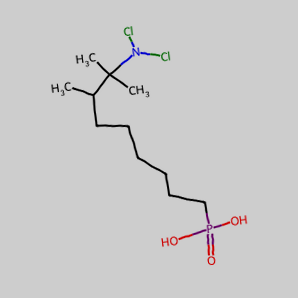 CC(CCCCCCP(=O)(O)O)C(C)(C)N(Cl)Cl